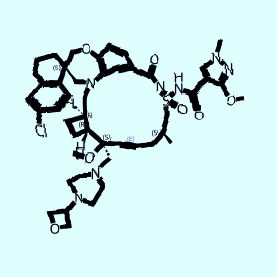 COc1nn(C)cc1C(=O)NS1(=O)=NC(=O)c2ccc3c(c2)N(C[C@@H]2CC[C@H]2[C@](CN2CCN(C4COC4)CC2)(OC)/C=C/C[C@H](C)C1)C[C@@]1(CCCc2cc(Cl)ccc21)CO3